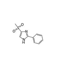 CS(=O)(=O)c1c[nH]c(-c2ccccc2)n1